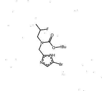 CC(F)CN(Cc1ncc(Br)[nH]1)C(=O)OC(C)(C)C